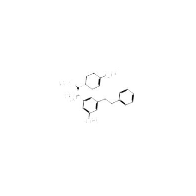 C=C(C)[C@H]1CCC(C)=C[C@@H]1c1c(O)cc(O)cc1CCc1ccccc1